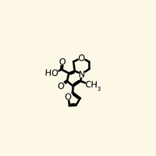 Cc1c(-c2ccco2)c(=O)c(C(=O)O)c2n1CCOC2